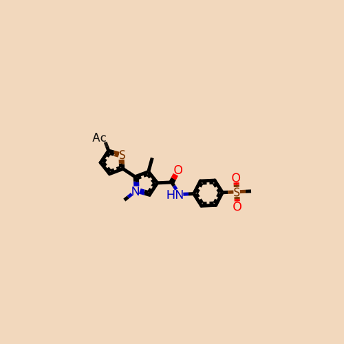 CC(=O)c1ccc(-c2c(C)c(C(=O)Nc3ccc(S(C)(=O)=O)cc3)cn2C)s1